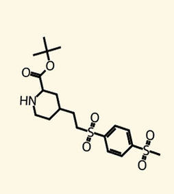 CC(C)(C)OC(=O)C1CC(CCS(=O)(=O)c2ccc(S(C)(=O)=O)cc2)CCN1